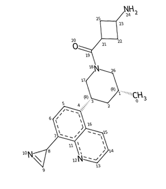 C[C@@H]1C[C@H](c2ccc(C3C=N3)c3ncccc23)CN(C(=O)C2CC(N)C2)C1